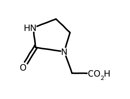 O=C(O)CN1CCNC1=O